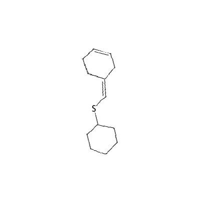 C1=CCC(=CSC2CCCCC2)CC1